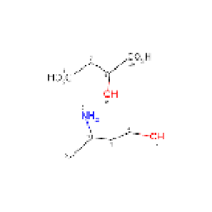 CC(N)CCO.O=C(O)CC(O)C(=O)O